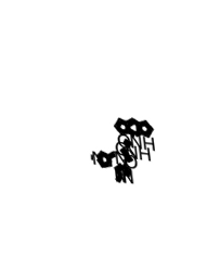 CN1CCC(CN(c2cnn(C)c2)S(=O)(=O)NC(=O)Nc2c3c(cc4c2CCC4)CCC3)C1